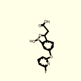 O=C(O)CC1OB(O)c2cc(Oc3cccc(F)n3)ccc21